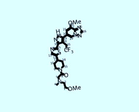 COCCN(C)CC(=O)N1CCC(c2cnc(-c3n[nH]c(-c4cc(OC)c5ncnn5c4)c3CC(F)(F)F)s2)CC1